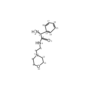 N[C@H](C(=O)NCCN1CCOCC1)c1ccccc1